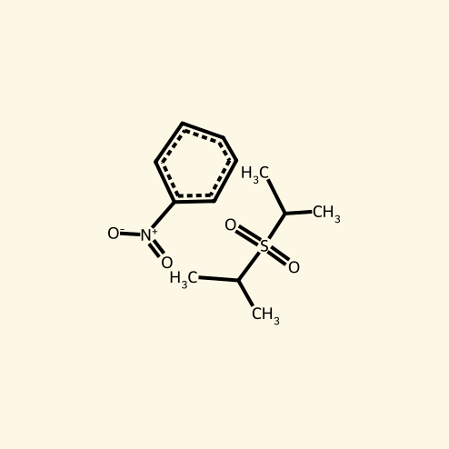 CC(C)S(=O)(=O)C(C)C.O=[N+]([O-])c1ccccc1